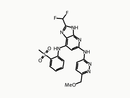 COCc1ccc(Nc2cc(Nc3ccccc3S(C)(=O)=O)c3nc(C(F)F)[nH]c3n2)nn1